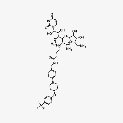 COC(C(O)C(O)n1ccc(=O)[nH]c1=O)C(OC1OC(CN)C(O)C1O)C(NCCCC(=O)NCc1ccc(N2CCC(Oc3ccc(C(F)(F)F)cc3)CC2)cc1)C(N)=O